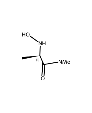 CNC(=O)[C@@H](C)NO